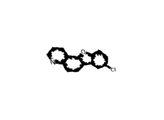 Clc1ccc2oc3c4cccnc4ccc3c2c1